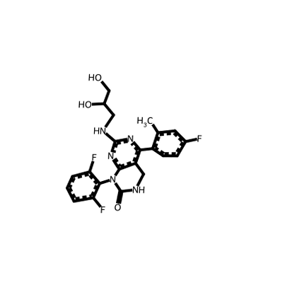 Cc1cc(F)ccc1-c1nc(NCC(O)CO)nc2c1CNC(=O)N2c1c(F)cccc1F